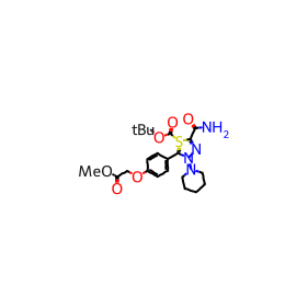 COC(=O)COc1ccc(C2=S(C(=O)OC(C)(C)C)C(C(N)=O)=NN2N2CCCCC2)cc1